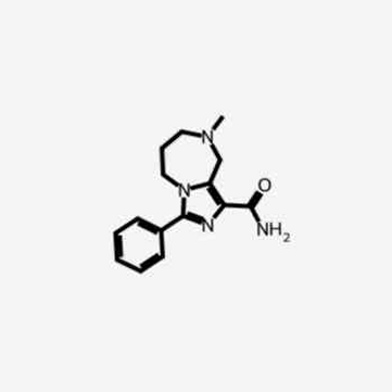 CN1CCCn2c(-c3ccccc3)nc(C(N)=O)c2C1